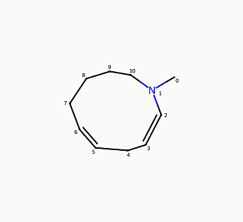 CN1/C=C\C/C=C\CCCC1